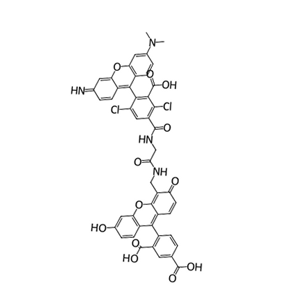 CN(C)c1ccc2c(-c3c(Cl)cc(C(=O)NCC(=O)NCc4c5oc6cc(O)ccc6c(-c6ccc(C(=O)O)cc6C(=O)O)c-5ccc4=O)c(Cl)c3C(=O)O)c3ccc(=N)cc-3oc2c1